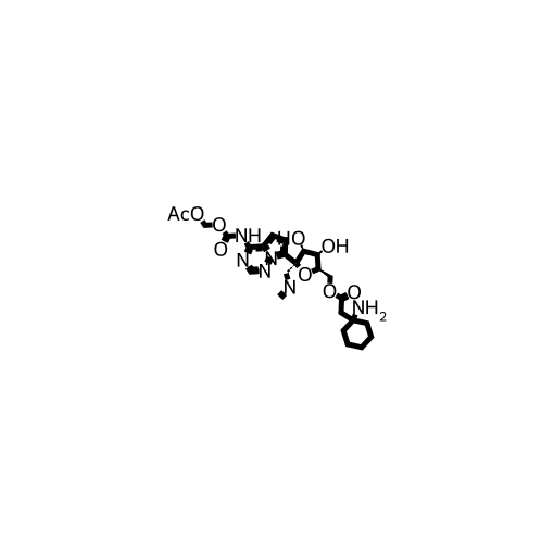 C=NC[C@@]1(c2ccc3c(NC(=O)OCOC(C)=O)ncnn23)O[C@H](COC(=O)CC2(N)CCCCC2)[C@@H](O)[C@H]1O